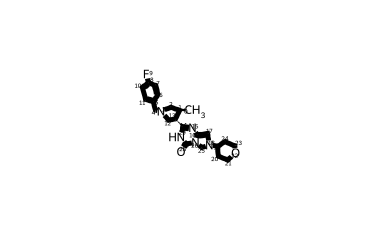 C[C@@H]1CN(Cc2ccc(F)cc2)C[C@H]1C1=NC2=CN(C3CCOCC3)CN2C(=O)N1